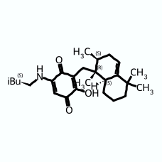 CC[C@H](C)CNC1=CC(=O)C(O)=C(C[C@@]2(C)[C@@H]3CCCC(C)(C)C3=CC[C@@H]2C)C1=O